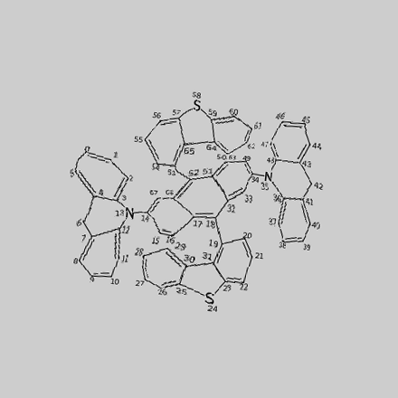 c1ccc2c(c1)Cc1ccccc1N2c1ccc2c(-c3cccc4sc5ccccc5c34)c3cc(N4c5ccccc5Cc5ccccc54)ccc3c(-c3cccc4sc5ccccc5c34)c2c1